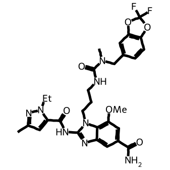 CCn1nc(C)cc1C(=O)Nc1nc2cc(C(N)=O)cc(OC)c2n1CCCNC(=O)N(C)Cc1ccc2c(c1)OC(F)(F)O2